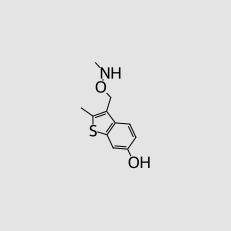 CNOCc1c(C)sc2cc(O)ccc12